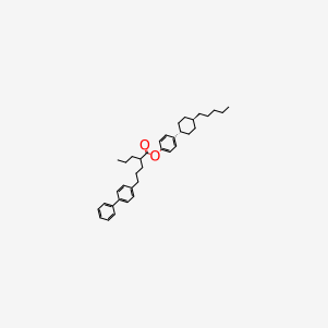 CCCCC[C@H]1CC[C@H](c2ccc(OC(=O)C(CCC)CCCc3ccc(-c4ccccc4)cc3)cc2)CC1